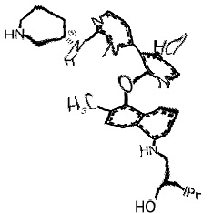 Cc1ccc2c(NCC(O)C(C)C)cccc2c1Oc1ncccc1-c1ccnc(N[C@H]2CCCNC2)n1.Cl